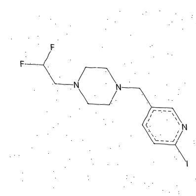 FC(F)CN1CCN(Cc2ccc(I)nc2)CC1